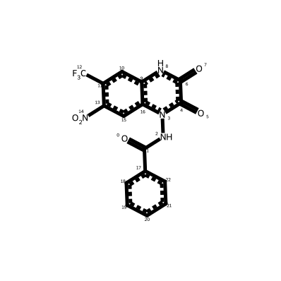 O=C(Nn1c(=O)c(=O)[nH]c2cc(C(F)(F)F)c([N+](=O)[O-])cc21)c1ccccc1